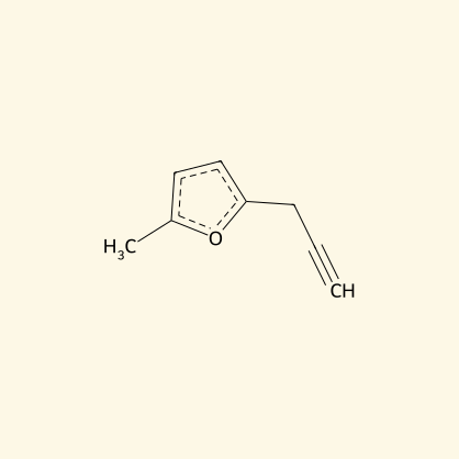 C#CCc1ccc(C)o1